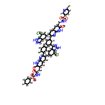 Cc1ccc(S(=O)(=O)NCc2cc3cc(-c4cc(Cl)c5[nH]ncc5c4)c(-c4cccc(-c5n[nH]c6c(Cl)cc(-c7cc8cc(CC(=O)NS(=O)(=O)c9ccccc9)c(=O)[nH]c8nc7-c7ccccc7)cc56)c4)nc3[nH]c2=O)cn1